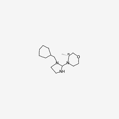 C[C@@H]1COCCN1C1NCCN1CC1CCCCC1